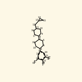 Fc1cc(C2CCC(C3CCC(CC4CC4)CC3)CC2)cc(F)c1F